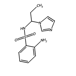 CCC(NS(=O)(=O)c1ccccc1N)n1ccnc1